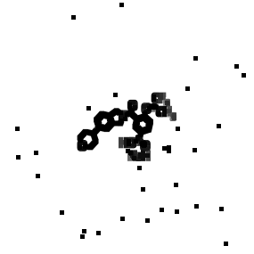 C[C@H](Oc1ccc(S(=O)O)cc1C(=O)N1Cc2ccc(C3CCOCC3)cc2C1)C(F)(F)F.[NaH]